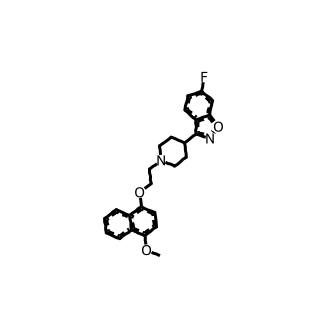 COc1ccc(OCCN2CCC(c3noc4cc(F)ccc34)CC2)c2ccccc12